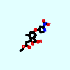 CCOC(=O)CC1OB(O)c2cc(Oc3ccnc([N+](=O)[O-])c3)cc(C)c21